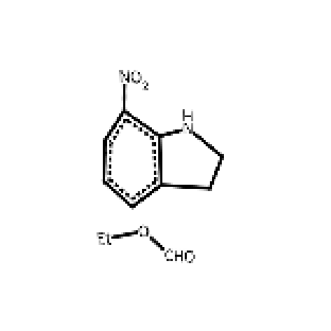 CCOC=O.O=[N+]([O-])c1cccc2c1NCC2